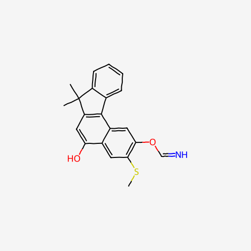 CSc1cc2c(O)cc3c(c2cc1OC=N)-c1ccccc1C3(C)C